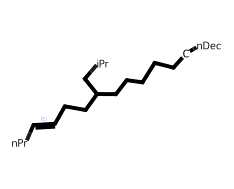 [CH2]CC/C=C/CCC(CCCCCCCCCCCCCCC[CH2])CC(C)C